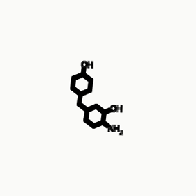 NC1CCC(CC2CCC(O)CC2)CC1O